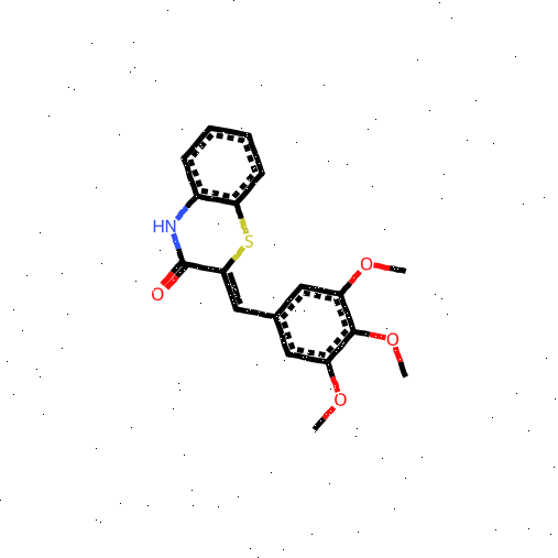 COc1cc(C=C2Sc3ccccc3NC2=O)cc(OC)c1OC